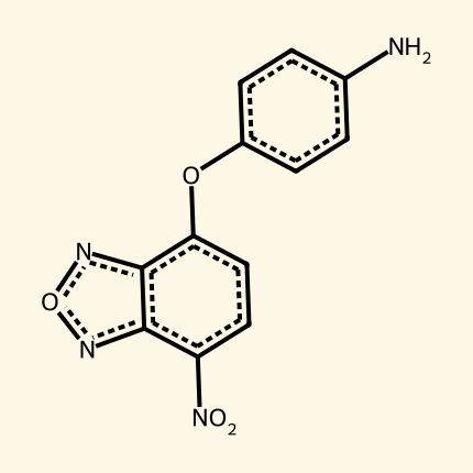 Nc1ccc(Oc2ccc([N+](=O)[O-])c3nonc23)cc1